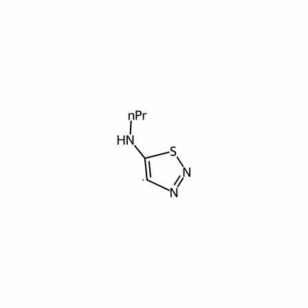 CCCNc1[c]nns1